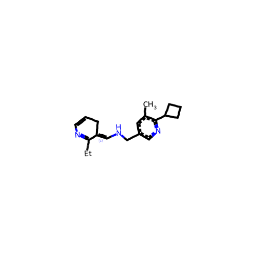 CCC1=NC=CC/C1=C\NCc1cnc(C2CCC2)c(C)c1